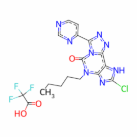 CCCCCn1c(=O)n2c(-c3ccncn3)nnc2c2[nH]c(Cl)nc21.O=C(O)C(F)(F)F